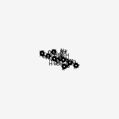 O=S(=O)(O)c1cc(Nc2nc(Oc3ccccc3)cc(Oc3ccccc3)n2)ccc1C=Cc1ccc(Nc2nc(Oc3ccccc3)cc(Oc3ccccc3)n2)cc1S(=O)(=O)O.[Na].[Na]